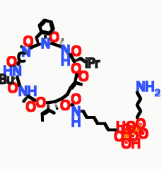 C/C=C(\C)[C@H]1OC(=O)[C@@H](C)NC(=O)[C@H](C(C)CC)NC(=O)CN(C)C(=O)[C@@H](Cc2ccccc2)N(C)C(=O)[C@H](C)NC(=O)[C@@H](CC(C)C)OC(=O)/C(C)=C/C[C@H](OC(=O)NCCCCCCCOP(=O)(O)OP(=O)(O)OCCCCCN)[C@@H]1C